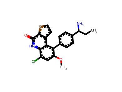 CCC(N)c1ccc(-c2c(OC)cc(Cl)c3[nH]c(=O)c4sccc4c23)cc1